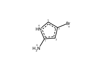 Nc1cc(Br)c[nH]1